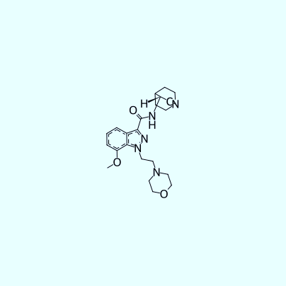 COc1cccc2c(C(=O)N[C@H]3CN4CCC3CC4)nn(CCN3CCOCC3)c12